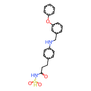 O=C(CCc1ccc(NCc2cccc(Oc3ccccc3)c2)cc1)N[SH](=O)=O